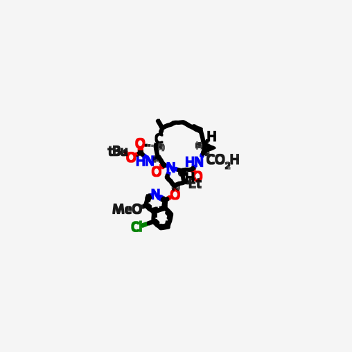 CCC1[C@@H](Oc2ncc(OC)c3c(Cl)cccc23)CN2C(=O)[C@@H](NC(=O)OC(C)(C)C)[C@H](C)CC(C)CCC=C[C@@H]3C[C@@]3(C(=O)O)NC(=O)[C@H]12